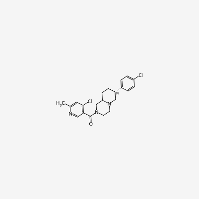 Cc1cc(Cl)c(C(=O)N2CCN3C[C@@H](c4ccc(Cl)cc4)CCC3C2)cn1